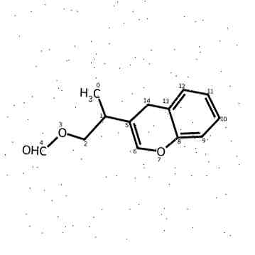 CC(COC=O)C1=COc2ccccc2C1